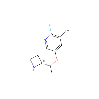 CCc1cc(OC(C)[C@H]2CCN2)cnc1F